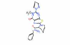 Cn1c(-n2cccn2)nc2sc(N3CCCC3C(=O)NCc3ccccc3)nc2c1=O